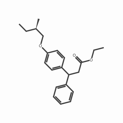 CCOC(=O)CC(c1ccccc1)c1ccc(OC[C@H](C)CC)cc1